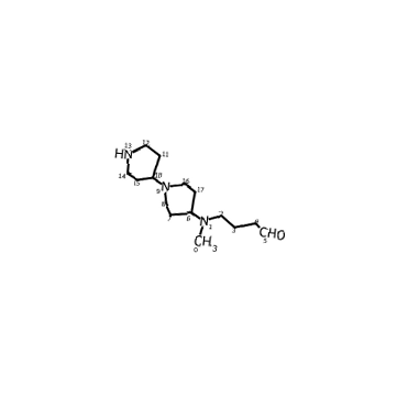 CN(CCCC=O)C1CCN(C2CCNCC2)CC1